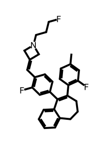 Cc1ccc(C2=C(c3ccc(C=C4CN(CCCF)C4)c(F)c3)c3ccccc3CCC2)c(F)c1